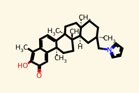 CC1=C(O)C(=O)C=C2C1=CC=C1[C@@]2(C)CC[C@@]2(C)[C@@H]3C[C@](C)(Cn4cccc4)CC[C@]3(C)CC[C@]12C